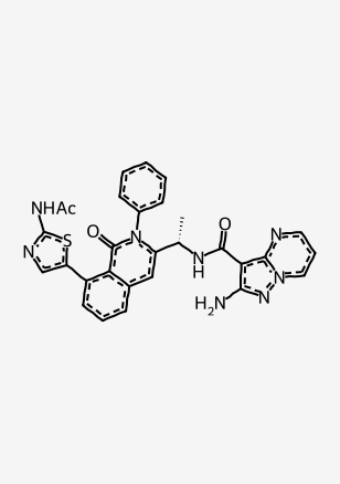 CC(=O)Nc1ncc(-c2cccc3cc([C@H](C)NC(=O)c4c(N)nn5cccnc45)n(-c4ccccc4)c(=O)c23)s1